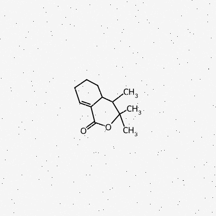 CC1C2CCCC=C2C(=O)OC1(C)C